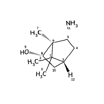 CC1(C)[C@@H]2CC[C@]1(C)[C@@H](O)C2.N